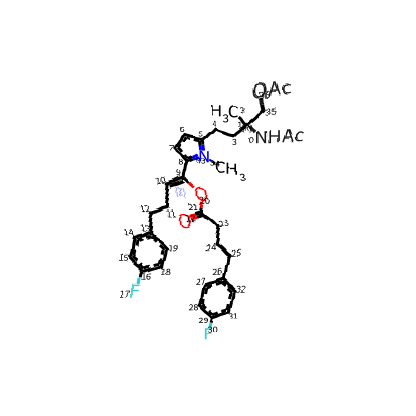 CC(=O)N[C@](C)(CCc1ccc(/C(=C/CCc2ccc(F)cc2)OC(=O)CCCc2ccc(F)cc2)n1C)COC(C)=O